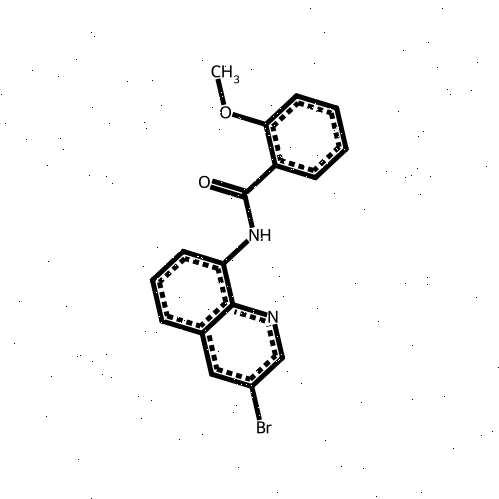 COc1ccccc1C(=O)Nc1cccc2cc(Br)cnc12